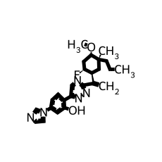 C=C(c1ncc(-c2ccc(-n3ccnc3)cc2O)nn1)[C@@H]1C[C@](C)(CCC)[C@@H](OC)C[C@H]1F